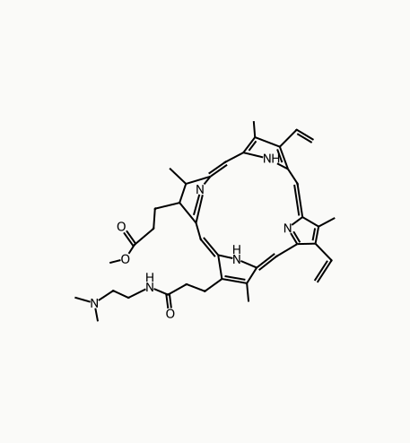 C=CC1=C(C)c2cc3[nH]c(cc4nc(cc5[nH]c(cc1n2)c(C)c5CCC(=O)NCCN(C)C)C(CCC(=O)OC)C4C)c(C)c3C=C